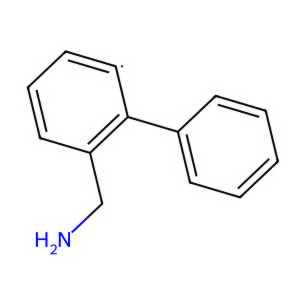 NCc1ccc[c]c1-c1ccccc1